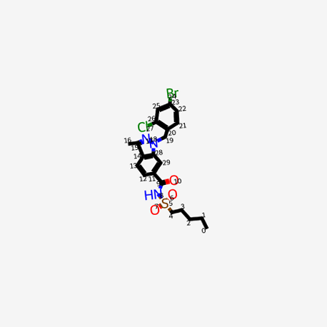 CCCCCS(=O)(=O)NC(=O)c1ccc2c(C)nn(Cc3ccc(Br)cc3Cl)c2c1